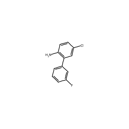 Nc1ccc(Cl)cc1-c1cc[c]c(F)c1